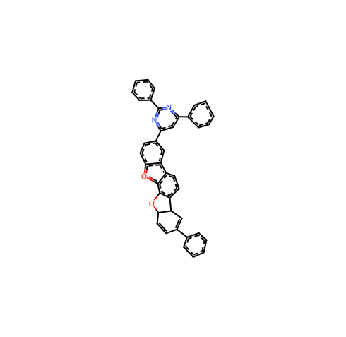 C1=CC2Oc3c(ccc4c3oc3ccc(-c5cc(-c6ccccc6)nc(-c6ccccc6)n5)cc34)C2C=C1c1ccccc1